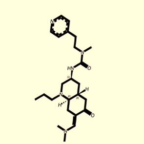 CCCN1C[C@@H](NC(=O)N(C)CCc2ccncc2)C[C@@H]2CC(=O)C(=CN(C)C)C[C@H]21